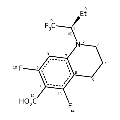 CC[C@@H](N1CCCc2c1cc(F)c(C(=O)O)c2F)C(F)(F)F